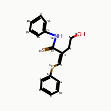 OCCC(=CSc1ccccc1)C(=S)Nc1ccccc1